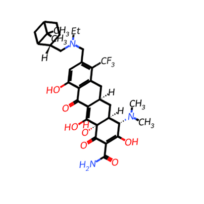 CCN(Cc1cc(O)c2c(c1C(F)(F)F)C[C@H]1C[C@H]3[C@H](N(C)C)C(O)=C(C(N)=O)C(=O)[C@@]3(O)C(O)=C1C2=O)C[C@H]1CCC2CC1C2(C)C